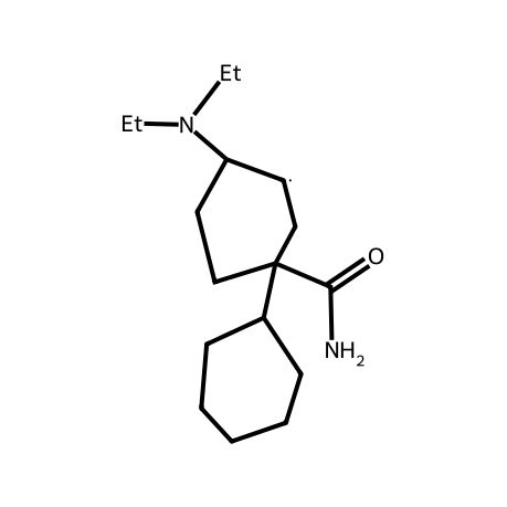 CCN(CC)C1[CH]CC(C(N)=O)(C2CCCCC2)CC1